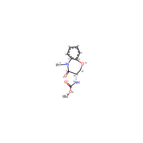 CC(C)N1C(=O)[C@@H](NC(=O)OC(C)(C)C)COc2ccccc21